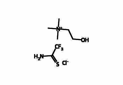 C[N+](C)(C)CCO.NC(=S)C(F)(F)F.[Cl-]